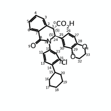 O=C(O)[C@H]1c2ccccc2C(=O)N(c2ccc(C3CCCCC3)c(Cl)c2)[C@@H]1c1ccc2c(c1)OCCO2